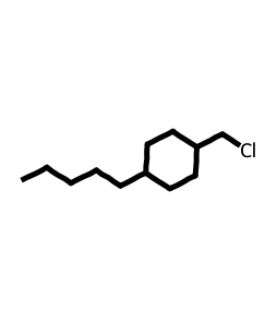 CCCCCC1CCC(CCl)CC1